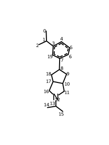 CC(C)c1cccc(C2CC3CN(C(C)C)CC3C2)c1